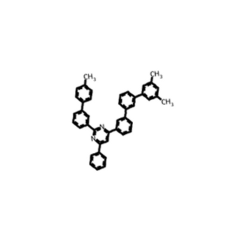 Cc1ccc(-c2cccc(-c3nc(-c4ccccc4)cc(-c4cccc(-c5cccc(-c6cc(C)cc(C)c6)c5)c4)n3)c2)cc1